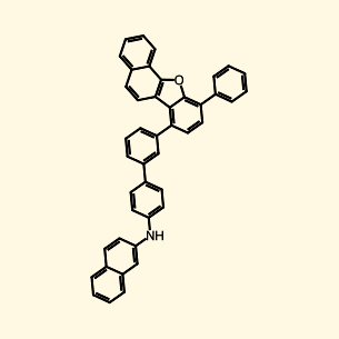 c1ccc(-c2ccc(-c3cccc(-c4ccc(Nc5ccc6ccccc6c5)cc4)c3)c3c2oc2c4ccccc4ccc23)cc1